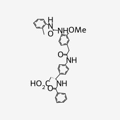 COc1cc(CC(=O)Nc2ccc([C@@H](CC(=O)O)NC(=O)c3ccccc3)cc2)ccc1NC(=O)Nc1ccccc1C